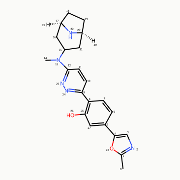 Cc1ncc(-c2ccc(-c3ccc(N(C)C4C[C@H]5CC[C@@H](C4)N5)nn3)c(O)c2)o1